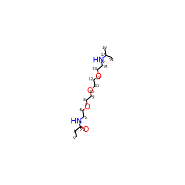 CCC(=O)NCCOCCOCCOCCNC(C)C